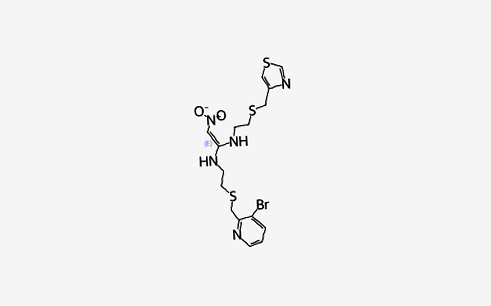 O=[N+]([O-])/C=C(\NCCSCc1cscn1)NCCSCc1ncccc1Br